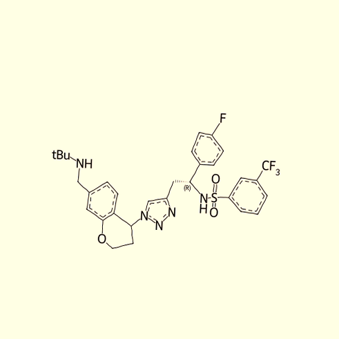 CC(C)(C)NCc1ccc2c(c1)OCCC2n1cc(C[C@@H](NS(=O)(=O)c2cccc(C(F)(F)F)c2)c2ccc(F)cc2)nn1